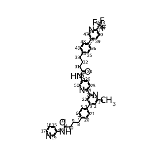 Cc1cc(-c2ccc(CCCC(=O)Nc3cccnc3)cc2)cc(-c2ccc(NC(=O)CCCc3ccc(-c4ccc(C(F)(F)F)nc4)cc3)cn2)n1